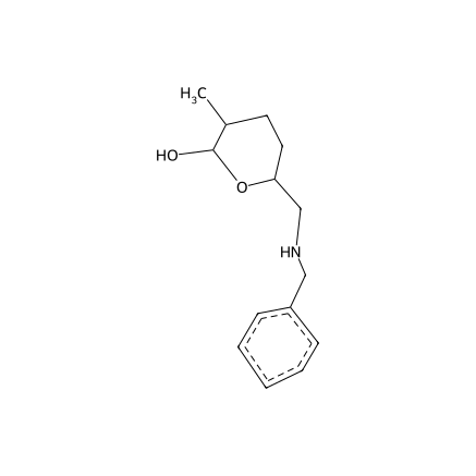 CC1CCC(CNCc2ccccc2)OC1O